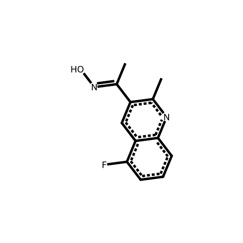 CC(=NO)c1cc2c(F)cccc2nc1C